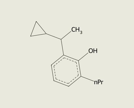 CCCc1cccc(C(C)C2CC2)c1O